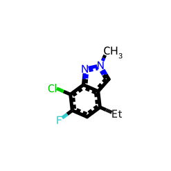 CCc1cc(F)c(Cl)c2nn(C)cc12